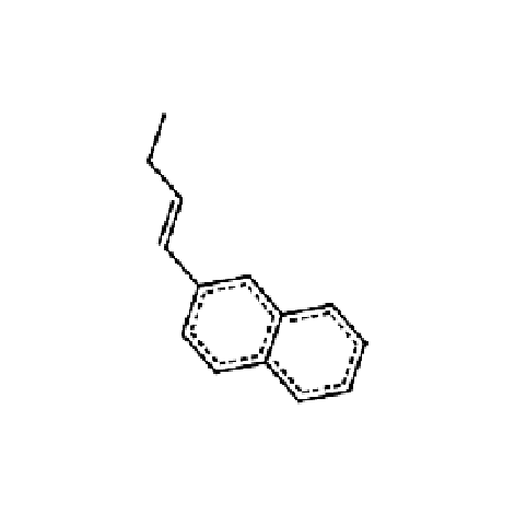 CCC=Cc1ccc2ccccc2c1